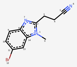 Cn1c(CCC#N)nc2ccc(Br)cc21